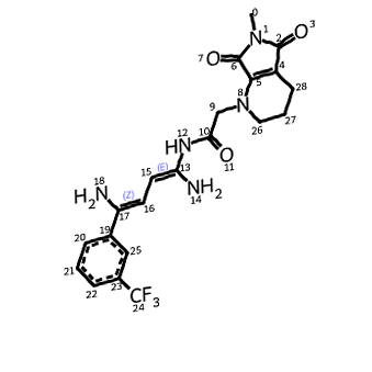 CN1C(=O)C2=C(C1=O)N(CC(=O)N/C(N)=C/C=C(\N)c1cccc(C(F)(F)F)c1)CCC2